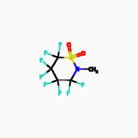 CN1C(F)(F)C(F)(F)C(F)(F)C(F)(F)S1(=O)=O